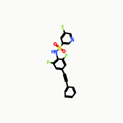 O=S(=O)(Nc1c(F)cc(C#Cc2ccccc2)cc1F)c1cncc(F)c1